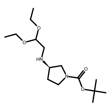 CCOC(CN[C@@H]1CCN(C(=O)OC(C)(C)C)C1)OCC